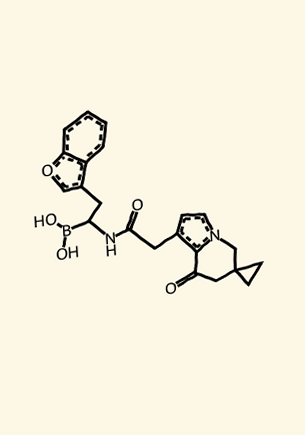 O=C(Cc1ccn2c1C(=O)CC1(CC1)C2)NC(Cc1coc2ccccc12)B(O)O